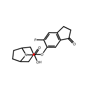 O=C1CCc2cc(F)c(OC3CC4CCC(C3)N4C(=O)O)cc21